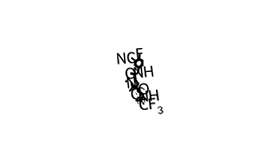 Cc1c(S(=O)(=O)N[C@H](C)C(F)(F)F)cc(C(=O)Nc2ccc(F)c(C#N)c2)n1C